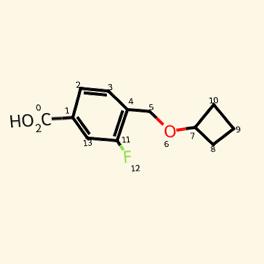 O=C(O)c1ccc(COC2CCC2)c(F)c1